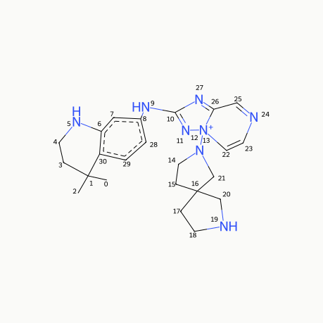 CC1(C)CCNc2cc(NC3=N[N+]4(N5CCC6(CCNC6)C5)C=CN=CC4=N3)ccc21